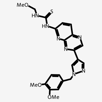 COCNC(=S)Nc1ccc2ncc(-c3cnn(Cc4ccc(OC)c(OC)c4)c3)nc2n1